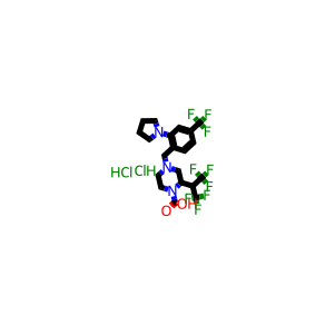 Cl.Cl.O=C(O)N1CCN(Cc2ccc(C(F)(F)F)cc2N2CCCC2)CC1C(C(F)(F)F)C(F)(F)F